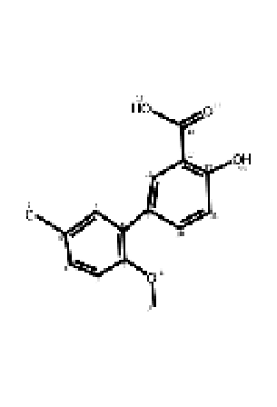 COc1ccc(Cl)cc1-c1ccc(O)c(C(=O)O)c1